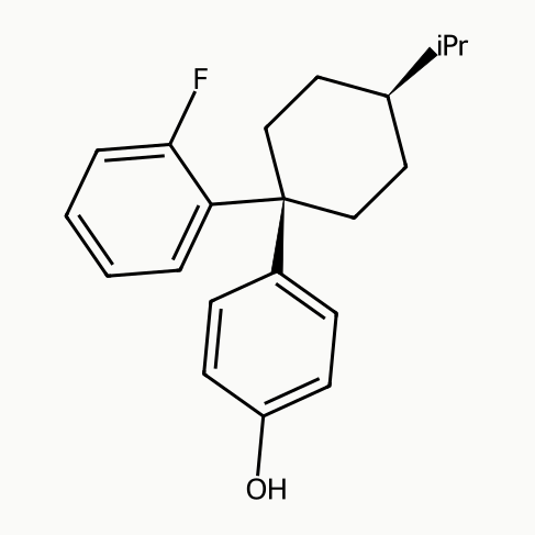 CC(C)[C@H]1CC[C@](c2ccc(O)cc2)(c2ccccc2F)CC1